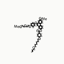 C=CCOCCCCCCOC1CCC(C(=O)Oc2ccc3c(c2)cc(Oc2ccc(OCCOCCOC)cc2)c2cc(OC)ccc23)CC1